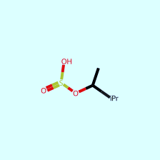 CC(C)C(C)OS(=O)O